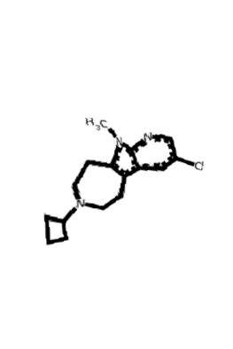 Cn1c2c(c3cc(Cl)cnc31)CCN(C1CCC1)CC2